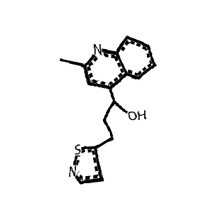 Cc1cc(C(O)CCc2ccns2)c2ccccc2n1